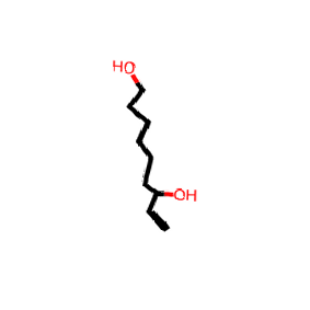 C=CC(O)CCCCCCO